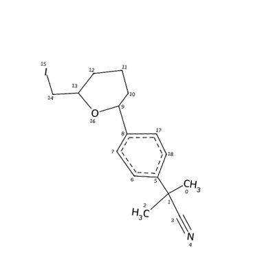 CC(C)(C#N)c1ccc(C2CCCC(CI)O2)cc1